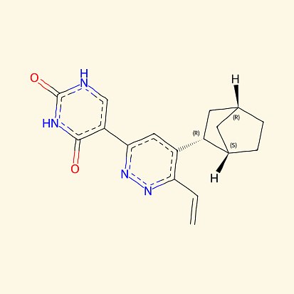 C=Cc1nnc(-c2c[nH]c(=O)[nH]c2=O)cc1[C@@H]1C[C@@H]2CC[C@H]1C2